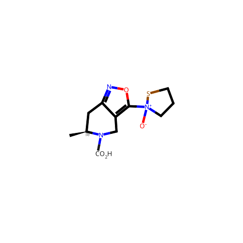 C[C@H]1Cc2noc([N+]3([O-])CCCS3)c2CN1C(=O)O